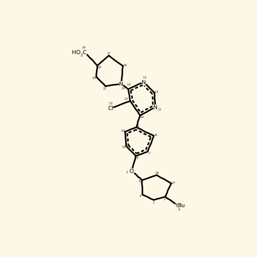 CC(C)(C)C1CCC(Oc2ccc(-c3ncnc(N4CCC(C(=O)O)CC4)c3Cl)cc2)CC1